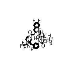 CC(=O)Nc1ccc(F)c(-c2nc(C(F)(F)F)n3c2CN(C(=O)C[C@@H](Cc2cc(F)c(F)cc2F)NC(=O)OC(C)(C)C)CC3)c1